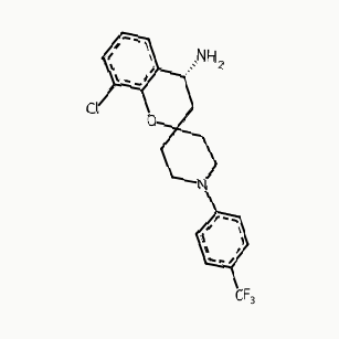 N[C@@H]1CC2(CCN(c3ccc(C(F)(F)F)cc3)CC2)Oc2c(Cl)cccc21